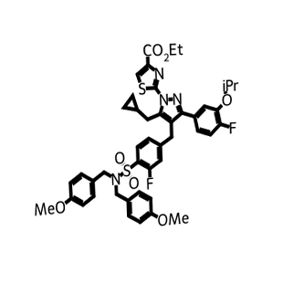 CCOC(=O)c1csc(-n2nc(-c3ccc(F)c(OC(C)C)c3)c(Cc3ccc(S(=O)(=O)N(Cc4ccc(OC)cc4)Cc4ccc(OC)cc4)c(F)c3)c2CC2CC2)n1